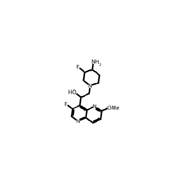 COc1ccc2ncc(F)c(C(O)CN3CCC(N)C(F)C3)c2n1